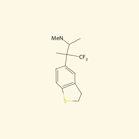 CNC(C)C(C)(c1ccc2c(c1)CCS2)C(F)(F)F